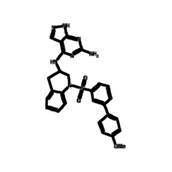 COc1ccc(-c2cccc(S(=O)(=O)N3CC(Nc4nc(N)nc5[nH]ncc45)Cc4ccccc43)c2)cc1